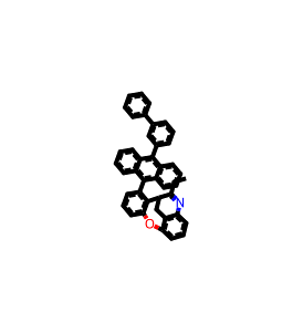 CCC1=Nc2cccc3c2CC1c1c(cccc1-c1c2ccccc2c(-c2cccc(-c4ccccc4)c2)c2ccccc12)O3